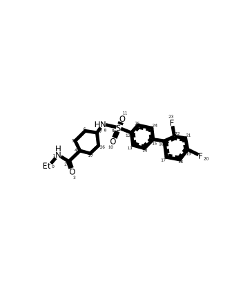 CCNC(=O)C1CCC(NS(=O)(=O)c2ccc(-c3ccc(F)cc3F)cc2)CC1